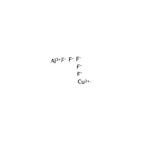 [Al+3].[Cu+2].[F-].[F-].[F-].[F-].[F-]